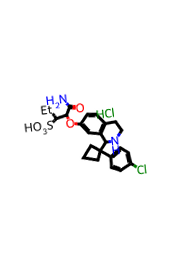 CCC(C(Oc1ccc2c(c1)C(C1(c3ccc(Cl)cc3)CCC1)NCC2)C(N)=O)S(=O)(=O)O.Cl